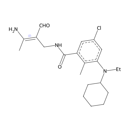 CCN(c1cc(Cl)cc(C(=O)NC/C(C=O)=C(\C)N)c1C)C1CCCCC1